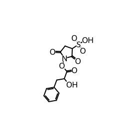 O=C(ON1C(=O)CC(S(=O)(=O)O)C1=O)C(O)Cc1ccccc1